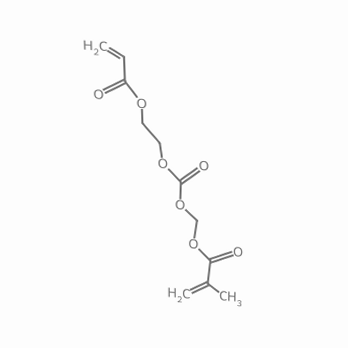 C=CC(=O)OCCOC(=O)OCOC(=O)C(=C)C